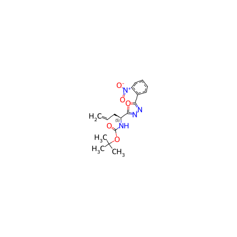 C=CC[C@H](NC(=O)OC(C)(C)C)c1nnc(-c2ccccc2[N+](=O)[O-])o1